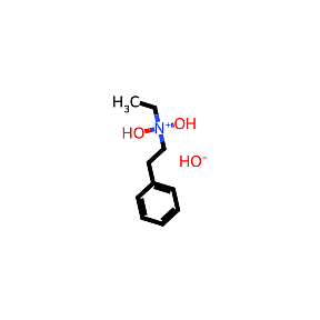 CC[N+](O)(O)CCc1ccccc1.[OH-]